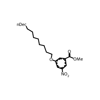 CCCCCCCCCCCCCCCCCCOc1cc(C(=O)OC)cc([N+](=O)[O-])c1